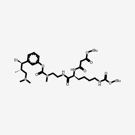 CC[C@@H](c1cccc(OC(=O)N(C)CCNC(=O)[C@H](CCCCNC(=O)OC(C)(C)C)NC(=O)CC(=O)OC(C)(C)C)c1)[C@@H](C)CN(C)C